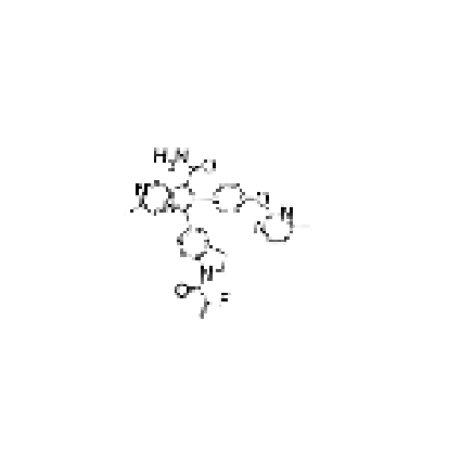 C=C(F)C(=O)N1CCc2cc(-c3c(-c4ccc(Oc5nccc(C)n5)cc4)c(C(N)=O)c4cnc(C)cn34)ccc21